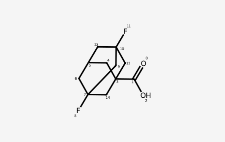 O=C(O)C12CC3CC(F)(CC(F)(C3)C1)C2